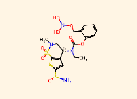 CCN(C(=O)Oc1ccccc1CON(O)O)[C@H]1CN(C)S(=O)(=O)c2sc([S+](N)[O-])cc21